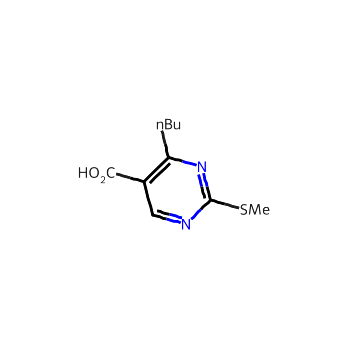 CCCCc1nc(SC)ncc1C(=O)O